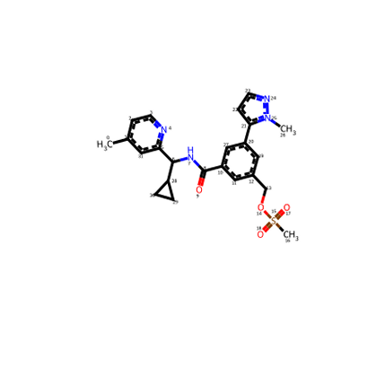 Cc1ccnc(C(NC(=O)c2cc(COS(C)(=O)=O)cc(-c3ccnn3C)c2)C2CC2)c1